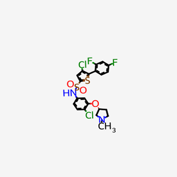 CN1CC[C@@H](Oc2cc(NS(=O)(=O)c3cc(Cl)c(-c4ccc(F)cc4F)s3)ccc2Cl)C1